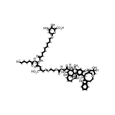 CC[C@]1(O)C[C@H]2CN(CCc3c([nH]c4ccccc34)[C@@](C)(c3cc4c(cc3OC)N(C)[C@H]3[C@@](O)(C(=O)CNC(=O)OCCSSC[C@@H](CC(=O)[C@H](NC(=O)CCCCCCCCOC5C[C@@H](O)C(O)C(C(=O)O)O5)NC(=O)CCCCC(C)=O)C(=O)O)[C@H](O)[C@]5(CC)C=CCN6CC[C@]43[C@@H]65)C2)C1